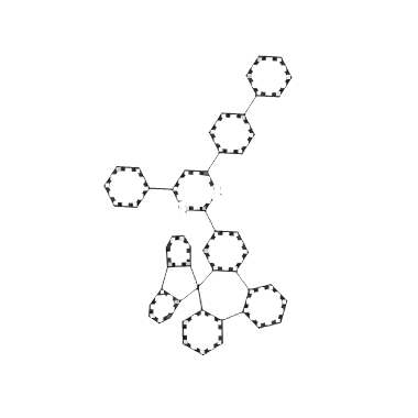 c1ccc(-c2ccc(-c3cc(-c4ccccc4)nc(-c4ccc5c(c4)C4(c6ccccc6-c6ccccc6-5)c5ccccc5-c5ccccc54)n3)cc2)cc1